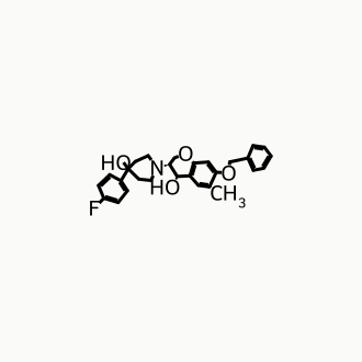 Cc1cc2c(cc1OCc1ccccc1)OC[C@@H](N1CCC(O)(c3ccc(F)cc3)CC1)[C@H]2O